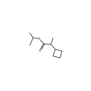 CC(C)OC(=O)N(C)C1CCC1